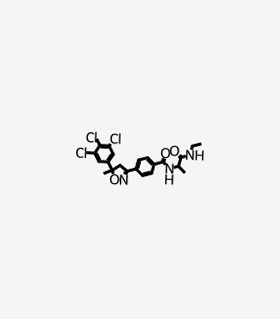 CCNC(=O)C(C)NC(=O)c1ccc(C2=NOC(C)(c3cc(Cl)c(Cl)c(Cl)c3)C2)cc1